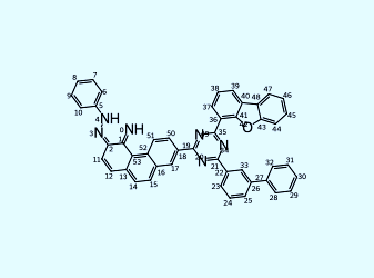 N=C1/C(=N\Nc2ccccc2)C=Cc2ccc3cc(-c4nc(-c5cccc(-c6ccccc6)c5)nc(-c5cccc6c5oc5ccccc56)n4)ccc3c21